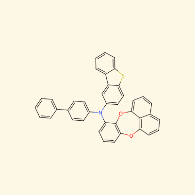 c1ccc(-c2ccc(N(c3ccc4sc5ccccc5c4c3)c3cccc4c3Oc3cccc5cccc(c35)O4)cc2)cc1